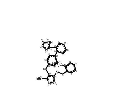 CCCCc1noc(SCc2ccccc2C(=O)O)c1Cc1ccc(-c2ccccc2-c2nnn[nH]2)cc1